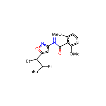 CCCCC(CC)C(CC)c1cc(NC(=O)c2c(OC)cccc2OC)no1